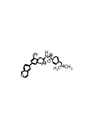 CC(C)c1cc(-c2ccc3cnccc3c2)cc(C(C)C)c1CC(=O)NS(=O)(=O)C1C=CC(CN(C)C)=CC1